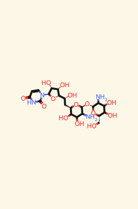 NC1C(O)C(O)[C@H](CO)O[C@@H]1O[C@@H]1O[C@H](C[C@@H](O)[C@@H]2O[C@@H](n3ccc(=O)[nH]c3=O)[C@H](O)[C@@H]2O)C(O)C(O)C1N